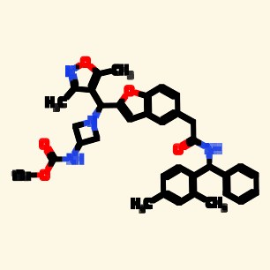 Cc1ccc([C@@H](NC(=O)Cc2ccc3oc([C@H](c4c(C)noc4C)N4CC(NC(=O)OC(C)(C)C)C4)cc3c2)c2ccccc2)c(C)c1